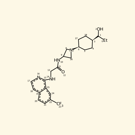 CCC(O)[C@H]1CC[C@@H](N2CC(NC(=O)CNc3nccc4ccc(C(F)(F)F)cc34)C2)CC1